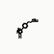 CC(C)(C)CCc1ccc(-c2c[nH]nn2)cc1